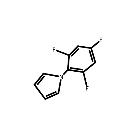 Fc1cc(F)c(-n2cccc2)c(F)c1